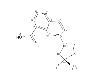 C[C@]1(F)CCN(c2ccc3nccc(C(=O)O)c3c2)C1